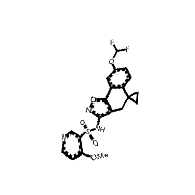 COc1ccncc1S(=O)(=O)Nc1noc2c1CC1(CC1)c1ccc(OC(F)F)cc1-2